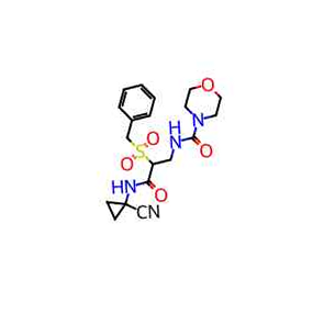 N#CC1(NC(=O)C(CNC(=O)N2CCOCC2)S(=O)(=O)Cc2ccccc2)CC1